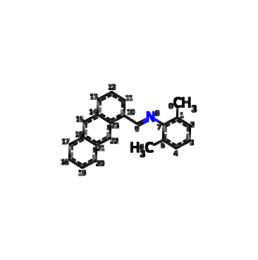 Cc1cccc(C)c1N=Cc1cccc2cc3ccccc3cc12